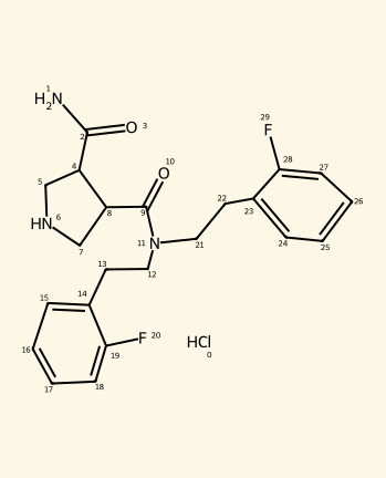 Cl.NC(=O)C1CNCC1C(=O)N(CCc1ccccc1F)CCc1ccccc1F